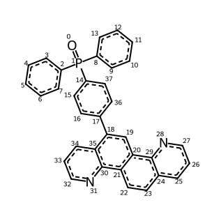 O=P(c1ccccc1)(c1ccccc1)c1ccc(-c2cc3c(ccc4cccnc43)c3ncccc23)cc1